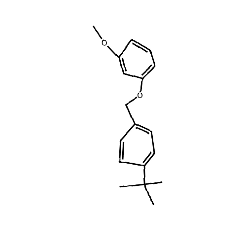 COc1cccc(OCc2ccc(C(C)(C)C)cc2)c1